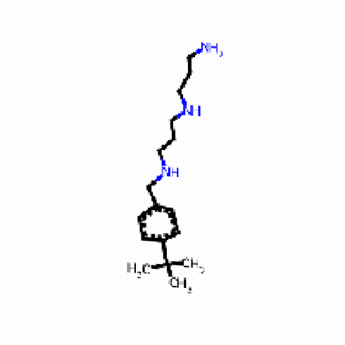 CC(C)(C)c1ccc(CNCCCNCCCN)cc1